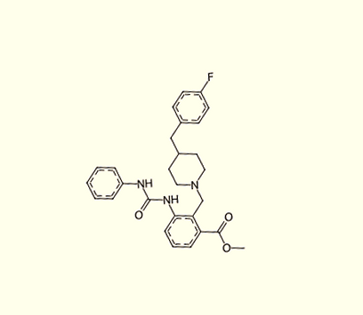 COC(=O)c1cccc(NC(=O)Nc2ccccc2)c1CN1CCC(Cc2ccc(F)cc2)CC1